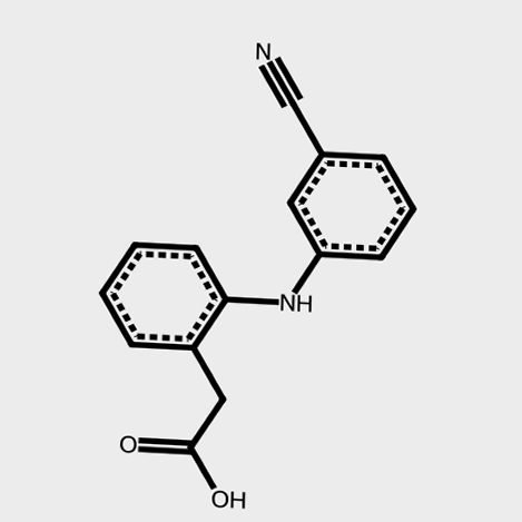 N#Cc1cccc(Nc2ccccc2CC(=O)O)c1